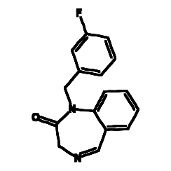 O=C1CN=Cc2ccccc2N1Cc1cccc(F)c1